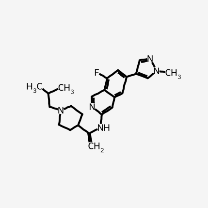 C=C(Nc1cc2cc(-c3cnn(C)c3)cc(F)c2cn1)C1CCN(CC(C)C)CC1